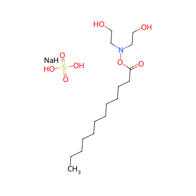 CCCCCCCCCCCC(=O)ON(CCO)CCO.O=S(=O)(O)O.[NaH]